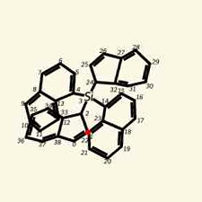 C1=CC([Si](c2cccc3ccccc23)(c2cccc3ccccc23)C2C=Cc3ccccc32)c2ccccc21